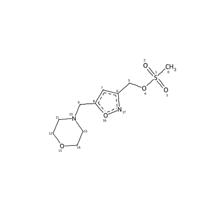 CS(=O)(=O)OCc1cc(CN2CCOCC2)on1